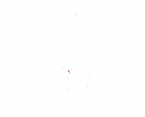 CO[C@]1(O)C(c2ccc(C#N)c(Cl)c2C)=NN2CCC[C@H]21